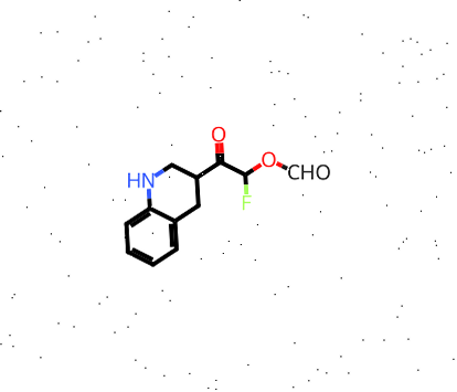 O=COC(F)C(=O)C1CNc2ccccc2C1